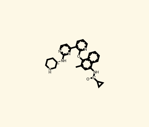 Cc1cc(N[S+]([O-])C2CC2)c2ccccc2c1Oc1ncccc1-c1ccnc(N[C@H]2CCCNC2)n1